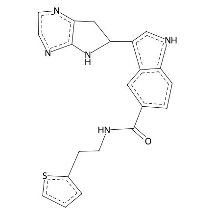 O=C(NCCc1cccs1)c1ccc2[nH]cc(C3Cc4nccnc4N3)c2c1